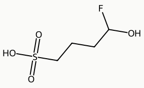 O=S(=O)(O)CCCC(O)F